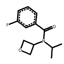 CC(C)N(C(=O)c1cccc(F)c1)C1COC1